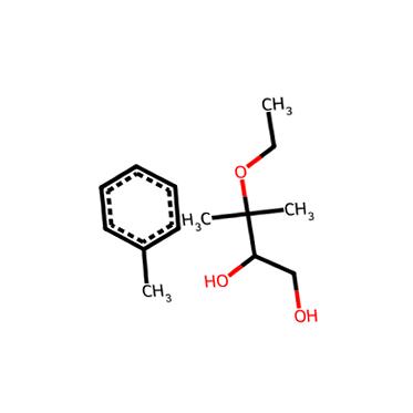 CCOC(C)(C)C(O)CO.Cc1ccccc1